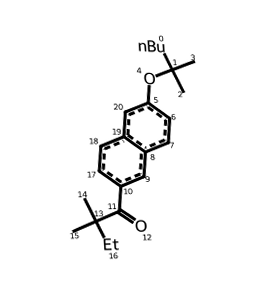 CCCCC(C)(C)Oc1ccc2cc(C(=O)C(C)(C)CC)ccc2c1